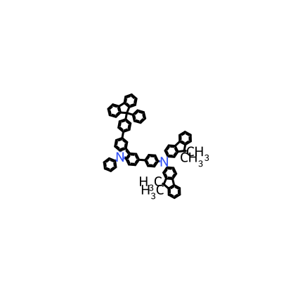 CC1(C)c2ccccc2-c2ccc(N(c3ccc(-c4ccc5c(c4)c4cc(-c6ccc(C7(c8ccccc8)c8ccccc8-c8ccccc87)cc6)ccc4n5-c4ccccc4)cc3)c3ccc4c(c3)C(C)(C)c3ccccc3-4)cc21